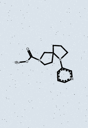 CC(C)(C)OC(=O)N1CCC2(CCCN2c2cccnc2)C1